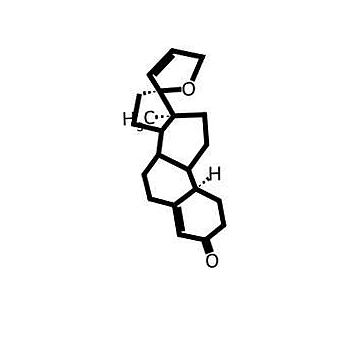 C[C@]12CCC3C(CCC4=CC(=O)CC[C@@H]43)C1CC[C@@]21C=CCO1